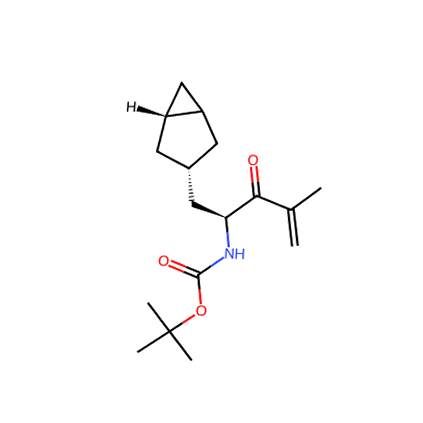 C=C(C)C(=O)[C@H](C[C@H]1CC2C[C@H]2C1)NC(=O)OC(C)(C)C